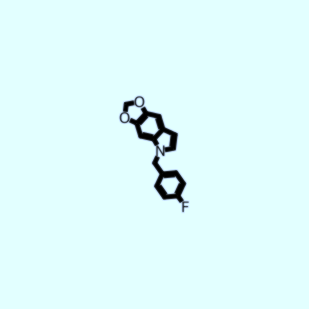 Fc1ccc(Cn2ccc3cc4c(cc32)OCO4)cc1